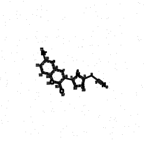 N#CCc1nc(-c2cc3cc(Br)ccc3oc2=O)cs1